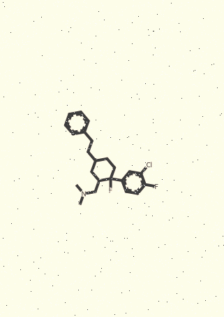 CN(C)CC1CC(CCc2ccccc2)CCC1(F)c1ccc(F)c(Cl)c1